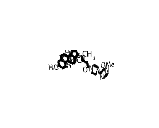 COc1nccnc1N1CCN(C(=O)CCC(C)[C@H]2CC[C@H]3[C@@H]4CC=C5C[C@@H](O)CC[C@]5(C)[C@H]4CC[C@]23C)CC1